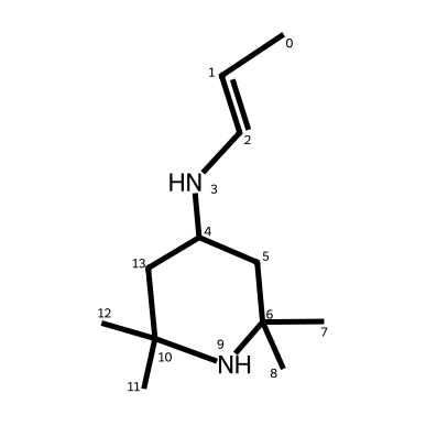 CC=CNC1CC(C)(C)NC(C)(C)C1